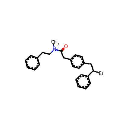 CCC(Cc1ccc(CC(=O)N(C)CCc2ccccc2)cc1)c1ccccc1